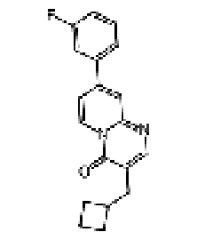 O=c1c(CC2CCC2)cnc2cc(-c3cccc(F)c3)ccn12